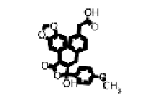 COc1ccc(C2(O)OC(=O)C(c3ccc4c(c3)OCO4)=C2Cc2ccc(CC(=O)O)cc2)cc1